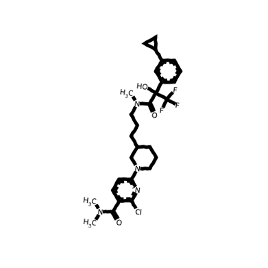 CN(C)C(=O)c1ccc(N2CCCC(CCCN(C)C(=O)C(O)(c3cccc(C4CC4)c3)C(F)(F)F)C2)nc1Cl